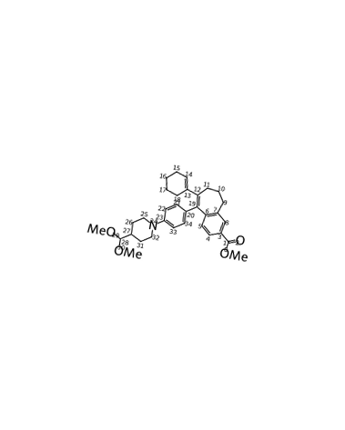 COC(=O)c1ccc2c(c1)CCCC(C1=CCCCC1)=C2c1ccc(N2CCC(C(OC)OC)CC2)cc1